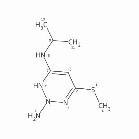 CSC1=NN(N)NC(NC(C)C)=C1